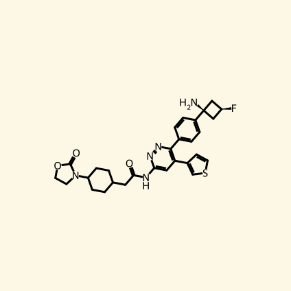 N[C@]1(c2ccc(-c3nnc(NC(=O)CC4CCC(N5CCOC5=O)CC4)cc3-c3ccsc3)cc2)C[C@H](F)C1